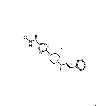 C=C(NO)c1cnc(N2CCN(C(C)/C=C/c3ccccc3)CC2)nc1